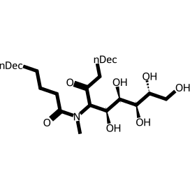 CCCCCCCCCCCCCC(=O)N(C)C(C(=O)CCCCCCCCCCC)[C@H](O)[C@@H](O)[C@H](O)[C@H](O)CO